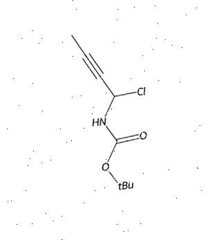 CC#CC(Cl)NC(=O)OC(C)(C)C